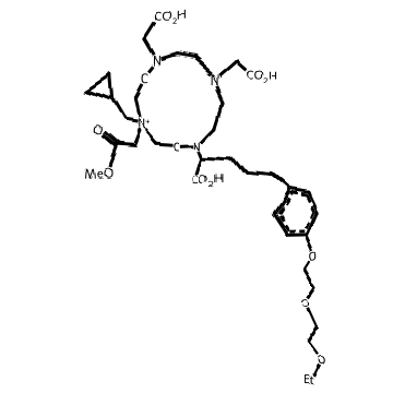 CCOCCOCCOc1ccc(CCCC(C(=O)O)N2CCN(CC(=O)O)CCN(CC(=O)O)CC[N+](CC(=O)OC)(CC3CC3)CC2)cc1